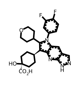 O=C(O)[C@]1(O)CC[C@@H](c2c(C3CCOCC3)n(-c3ccc(F)c(F)c3)c3cc4cn[nH]c4nc32)CC1